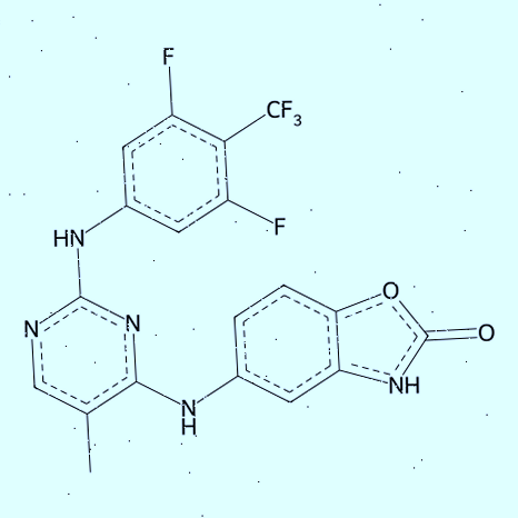 Cc1cnc(Nc2cc(F)c(C(F)(F)F)c(F)c2)nc1Nc1ccc2oc(=O)[nH]c2c1